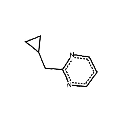 c1cnc(CC2CC2)nc1